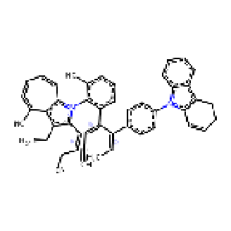 C#C/C=C(\C(=C/C)c1ccc(-n2c3c(c4ccccc42)CCC=C3)cc1)c1cccc(C#N)c1-n1c2c(c(C=C)c1/C=C\CC#N)C(C#N)=C=CC=C2